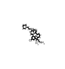 Cl.NCCC(N)(c1cccc(Cl)c1)c1cccc(-c2cnc3c(NCCN4CCOCC4)nccn23)n1